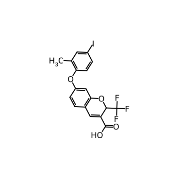 Cc1cc(I)ccc1Oc1ccc2c(c1)OC(C(F)(F)F)C(C(=O)O)=C2